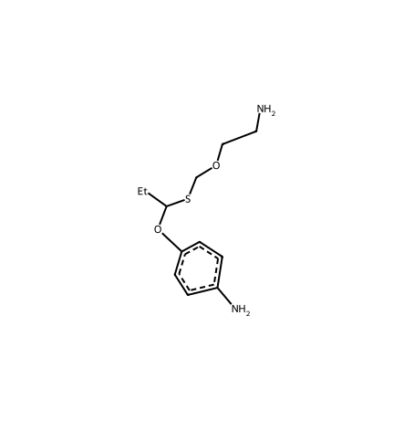 CCC(Oc1ccc(N)cc1)SCOCCN